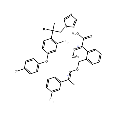 CC(O)(Cn1cncn1)c1ccc(Oc2ccc(Cl)cc2)cc1C(F)(F)F.CO/N=C(/C(=O)OC)c1ccccc1CO/N=C(\C)c1cccc(C(F)(F)F)c1